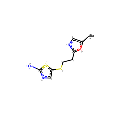 CC(C)(C)c1cnc(CCSc2cnc(N)s2)o1